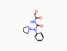 O=[C]C(=O)NC(=O)N(c1ccccc1)N1CCCC1